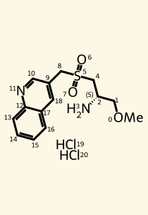 COC[C@H](N)CS(=O)(=O)Cc1cnc2ccccc2c1.Cl.Cl